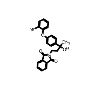 CC(O)(CCN1C(=O)c2ccccc2C1=O)c1ccc(Oc2ccccc2Br)cc1